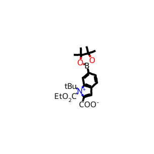 CCOC(=O)[N+]1(C(C)(C)C)C(C(=O)[O-])=Cc2ccc(B3OC(C)(C)C(C)(C)O3)cc21